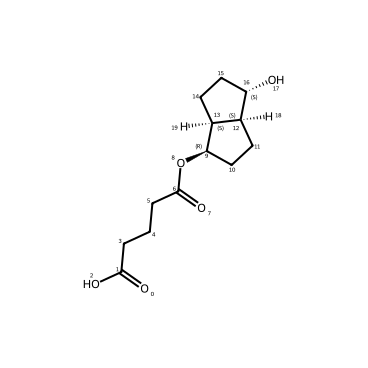 O=C(O)CCCC(=O)O[C@@H]1CC[C@H]2[C@@H]1CC[C@@H]2O